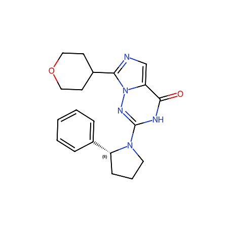 O=c1[nH]c(N2CCC[C@@H]2c2ccccc2)nn2c(C3CCOCC3)ncc12